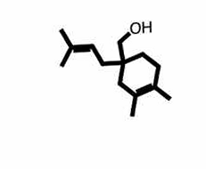 CC(C)=CCC1(CO)CCC(C)=C(C)C1